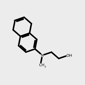 CN(CCO)c1ccc2c(c1)CC=[C]C2